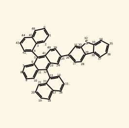 c1ccc2c(-c3c4ccccc4c(-c4cccc5ccccc45)c4cc(-c5ccc6c(c5)sc5ccccc56)ccc34)cccc2c1